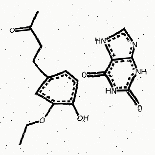 CCOc1cc(CCC(C)=O)ccc1O.O=c1[nH]c(=O)c2[nH]cnc2[nH]1